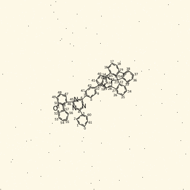 c1ccc(-c2nc(-c3ccc(-c4ccc(-c5cccc6c5C5(c7ccccc7-c7ccccc75)c5ccccc5-6)cc4)cc3)nc(-c3cccc4oc5ccccc5c34)n2)cc1